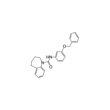 O=C(Nc1cccc(OCc2ccccc2)c1)N1CCCCc2ccccc21